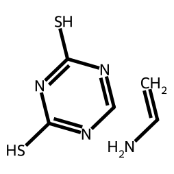 C=CN.Sc1ncnc(S)n1